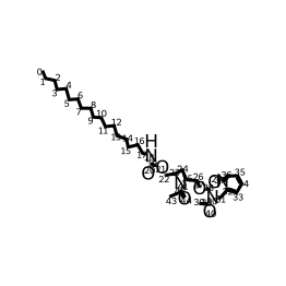 CCCCCCCCCCCCCCCCCCNC(=O)OCC1CC(COC(=O)N(Cc2ccccn2)C(C)=O)N1C(C)=O